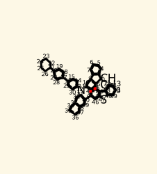 CC1(C)c2ccccc2-c2cc(N(c3ccc(-c4ccc(C5CCCCC5)cc4)cc3)c3cc4ccccc4cc3-c3ccc4c(c3)sc3ccccc34)ccc21